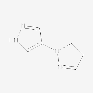 [c]1n[nH]cc1N1CCC=N1